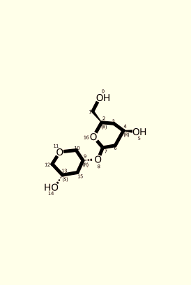 OC[C@H]1C[C@@H](O)CC(O[C@H]2COC[C@@H](O)C2)O1